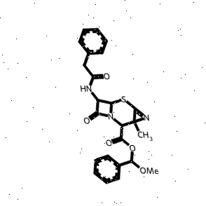 COC(OC(=O)C1N2C(=O)C(NC(=O)Cc3ccccc3)C2SC2=NC21C)c1ccccc1